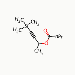 CCCC(=O)OC(C)C#C[Si](C)(C)C